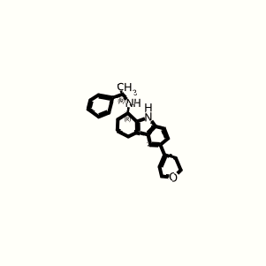 C[C@@H](N[C@@H]1CCCc2c1[nH]c1ccc(C3=CCOCC3)cc21)c1ccccc1